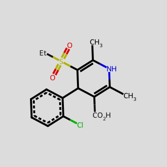 CCS(=O)(=O)C1=C(C)NC(C)=C(C(=O)O)C1c1ccccc1Cl